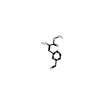 COC(=O)C(C)=Cc1cccc(C=O)c1